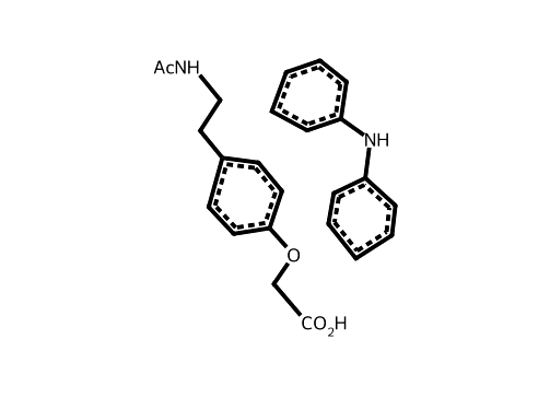 CC(=O)NCCc1ccc(OCC(=O)O)cc1.c1ccc(Nc2ccccc2)cc1